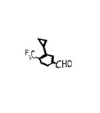 O=Cc1ccc(C(F)(F)F)c(C2CC2)c1